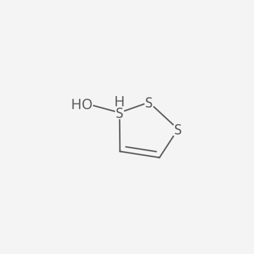 O[SH]1C=CSS1